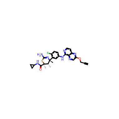 C#CCOc1cnc2c(Nc3ccc(F)c([C@@]4(C)N=C(N)S[C@](C)(C(=O)NC5CC5)[C@H]4C)c3)nccc2n1